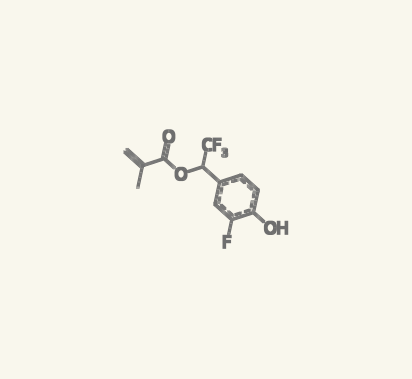 C=C(C)C(=O)OC(c1ccc(O)c(F)c1)C(F)(F)F